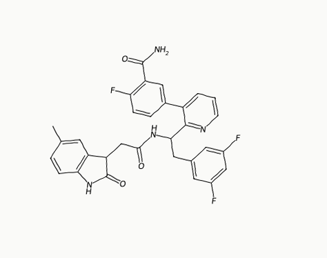 Cc1ccc2c(c1)C(CC(=O)NC(Cc1cc(F)cc(F)c1)c1ncccc1-c1ccc(F)c(C(N)=O)c1)C(=O)N2